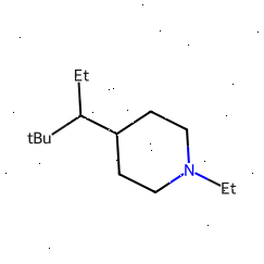 CCC(C1CCN(CC)CC1)C(C)(C)C